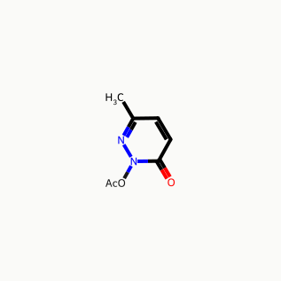 CC(=O)On1nc(C)ccc1=O